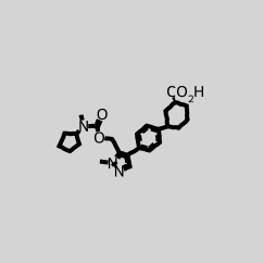 CN(C(=O)OCc1c(-c2ccc(C3CCC[C@H](C(=O)O)C3)cc2)cnn1C)C1CCCC1